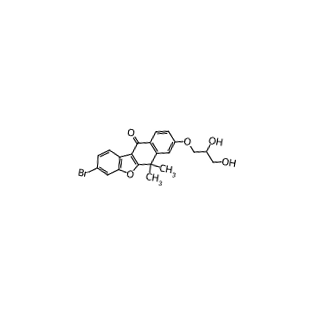 CC1(C)c2cc(OCC(O)CO)ccc2C(=O)c2c1oc1cc(Br)ccc21